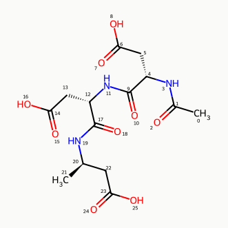 CC(=O)N[C@@H](CC(=O)O)C(=O)N[C@@H](CC(=O)O)C(=O)N[C@H](C)CC(=O)O